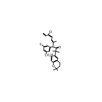 C=C/C(Cl)=C\C=C(/C)N(C(=O)C(C)(C)c1ccc2c(c1)CCC(C)(C)O2)c1cc(F)cc(C(=O)O)c1